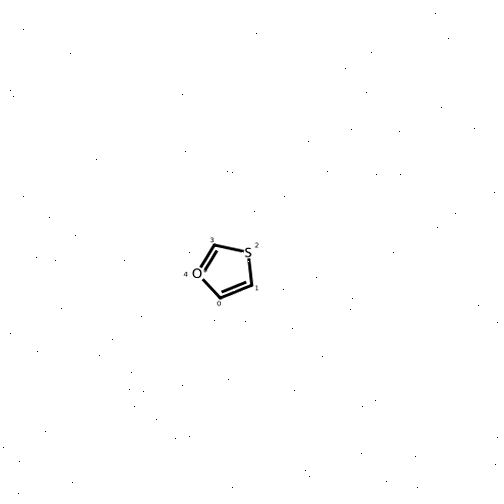 c1csc[o+]1